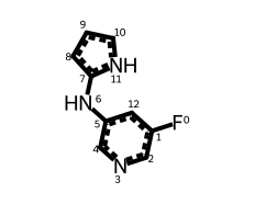 Fc1cncc(Nc2ccc[nH]2)c1